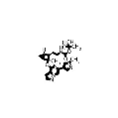 Cn1cc(-c2cn3nccc3c(O[C@@]3(C)C4C[C@H]4[C@H]3CCNC(=O)OC(C)(C)C)n2)cn1